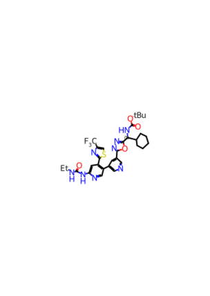 CCNC(=O)Nc1cc(-c2nc(C(F)(F)F)cs2)c(-c2cncc(-c3nnc([C@@H](NC(=O)OC(C)(C)C)C4CCCCC4)o3)c2)cn1